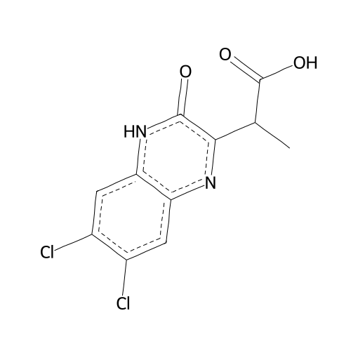 CC(C(=O)O)c1nc2cc(Cl)c(Cl)cc2[nH]c1=O